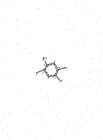 [CH2]c1cc(C)c(F)cc1C